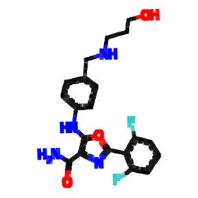 NC(=O)c1nc(-c2c(F)cccc2F)oc1Nc1ccc(CNCCCO)cc1